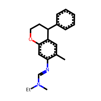 CCN(C)C=Nc1cc2c(cc1C)C(c1ccccc1)CCO2